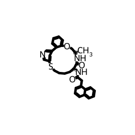 C[C@@H]1COc2ccccc2-c2cncc(c2)SCCCC[C@H](NC(=O)Cc2cccc3ccccc23)C(=O)N1